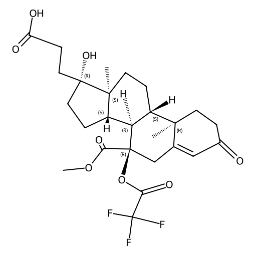 COC(=O)[C@@]1(OC(=O)C(F)(F)F)CC2=CC(=O)CC[C@]2(C)[C@H]2CC[C@@]3(C)[C@@H](CC[C@@]3(O)CCC(=O)O)[C@@H]21